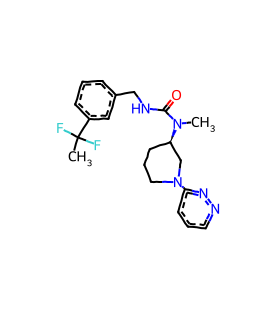 CN(C(=O)NCc1cccc(C(C)(F)F)c1)[C@@H]1CCCN(c2cccnn2)C1